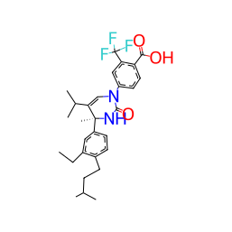 CCc1cc([C@]2(C)NC(=O)N(c3ccc(C(=O)O)c(C(F)(F)F)c3)C=C2C(C)C)ccc1CCC(C)C